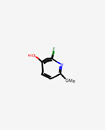 COc1ccc(O)c(F)n1